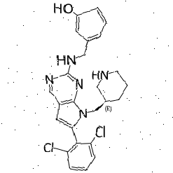 Oc1cccc(CNc2ncc3cc(-c4c(Cl)cccc4Cl)n(C[C@@H]4CCCNC4)c3n2)c1